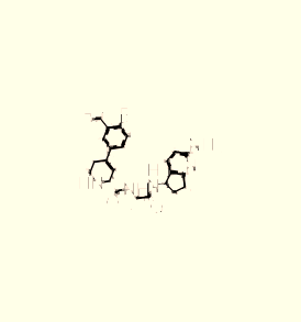 C[C@H](NC(=O)[C@H]1C=C(c2ccc(F)c(CF)c2)CCN1)C(=O)N[C@@H]1CCc2nc(N)ccc21